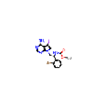 CC(C)(C)OC(=O)NC(Cn1cc(I)c2c(N)ncnc21)c1ccccc1Br